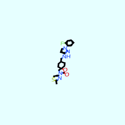 Cc1nc(N2CC3(CCC(CNc4ccn(-c5ccccc5F)n4)CC3)OC2=O)cs1